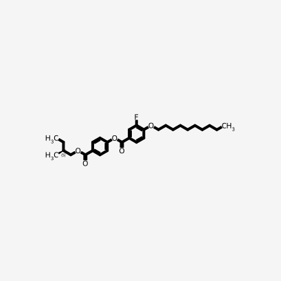 CCCCCCCCCCOc1ccc(C(=O)Oc2ccc(C(=O)OC[C@@H](C)CC)cc2)cc1F